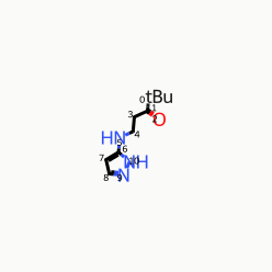 CC(C)(C)C(=O)CCNc1ccn[nH]1